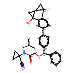 CC(C)C[C@H](O[C@H](c1ccccc1)c1ccc(-c2ccc(C3(O)CC3)c(C3(O)CC3)c2)cc1)C(=O)NC1(C#N)CC1